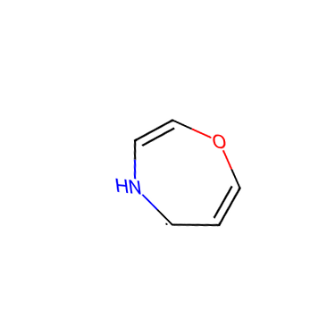 [CH]1C=COC=CN1